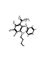 CCCCOc1c(F)c(F)c(F)c(C(N)=O)c1Oc1ccccc1